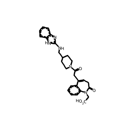 O=C(O)CN1C(=O)CC=C(CC(=O)N2CCC(CNc3nc4ccccc4[nH]3)CC2)c2ccccc21